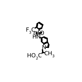 CC(Cn1ccc2ccc(NS(=O)(=O)c3ccccc3C(F)(F)F)cc21)C(=O)O